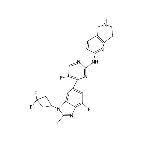 Cc1nc2c(F)cc(-c3nc(Nc4ccc5c(n4)CCNC5)ncc3F)cc2n1C1CC(F)(F)C1